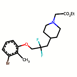 CCOC(=O)CN1CCC(CC(F)(F)COc2cccc(Br)c2C)CC1